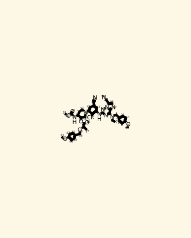 CCN(Cc1ccc(OC)cc1)c1nc(Nc2cc(C#N)cc(N3CCC(NC(=O)OC)C(OC(=O)C(C)OCc4ccc(OC)cc4)C3)c2Cl)nn2c(C#N)cnc12